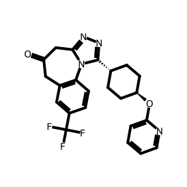 O=C1Cc2cc(C(F)(F)F)ccc2-n2c(nnc2[C@H]2CC[C@H](Oc3ccccn3)CC2)C1